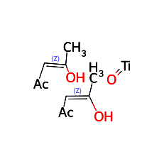 CC(=O)/C=C(/C)O.CC(=O)/C=C(/C)O.[O]=[Ti]